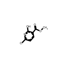 COC(=O)c1ccc(Cl)nc1O